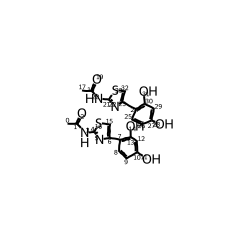 CC(=O)Nc1nc(-c2ccc(O)cc2O)cs1.CC(=O)Nc1nc(-c2ccc(O)cc2O)cs1